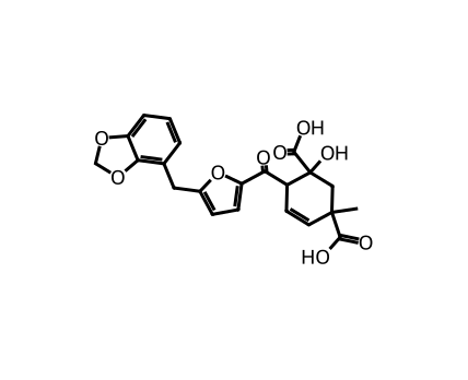 CC1(C(=O)O)C=CC(C(=O)c2ccc(Cc3cccc4c3OCO4)o2)C(O)(C(=O)O)C1